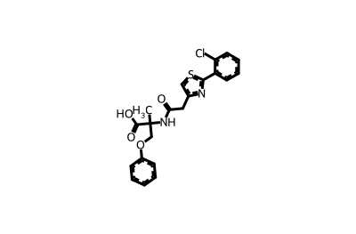 CC(COc1ccccc1)(NC(=O)Cc1csc(-c2ccccc2Cl)n1)C(=O)O